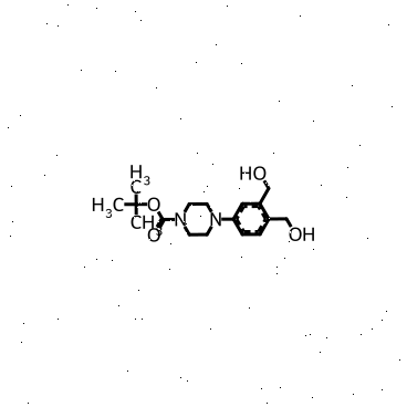 CC(C)(C)OC(=O)N1CCN(c2ccc(CO)c(CO)c2)CC1